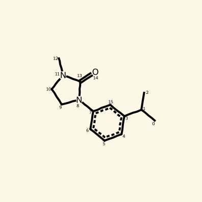 CC(C)c1cccc(N2CCN(C)C2=O)c1